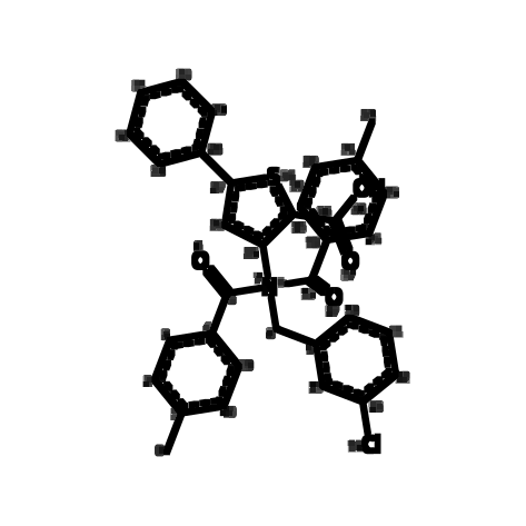 Cc1ccc(C(=O)[N+](Cc2cccc(Cl)c2)(C(=O)c2ccc(C)cc2)c2cc(-c3ccccc3)sc2C(=O)O)cc1